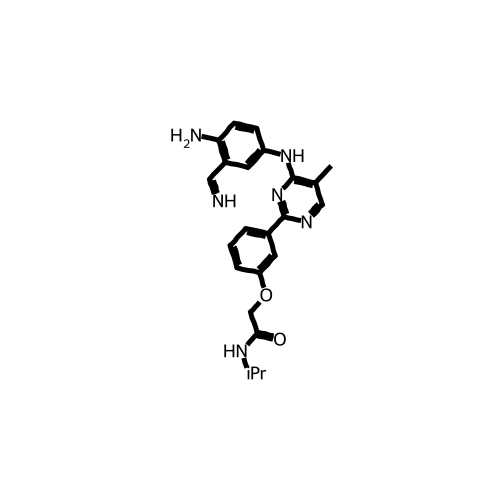 Cc1cnc(-c2cccc(OCC(=O)NC(C)C)c2)nc1Nc1ccc(N)c(C=N)c1